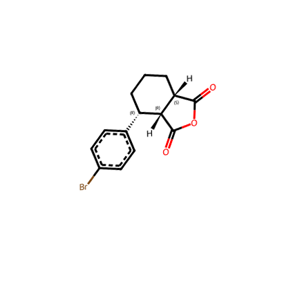 O=C1OC(=O)[C@H]2CCC[C@@H](c3ccc(Br)cc3)[C@@H]12